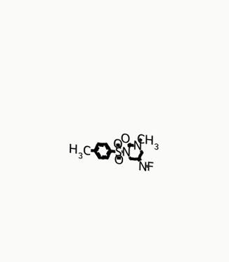 Cc1ccc(S(=O)(=O)N2C/C(=N/F)CN(C)C2=O)cc1